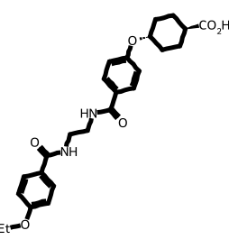 CCOc1ccc(C(=O)NCCNC(=O)c2ccc(O[C@H]3CC[C@H](C(=O)O)CC3)cc2)cc1